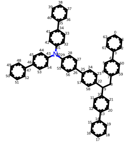 c1ccc(-c2ccc(CC(c3ccc(-c4ccccc4)cc3)c3ccc(-c4ccc(N(c5ccc(-c6ccccc6)cc5)c5ccc(-c6ccccc6)cc5)cc4)cc3)cc2)cc1